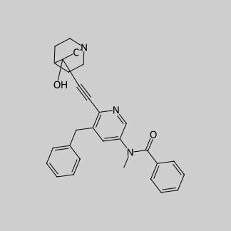 CN(C(=O)c1ccccc1)c1cnc(C#CC2(O)CN3CCC2CC3)c(Cc2ccccc2)c1